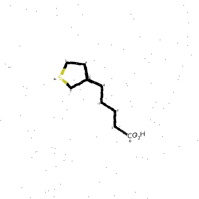 O=C(O)CCCCC1CCSC1